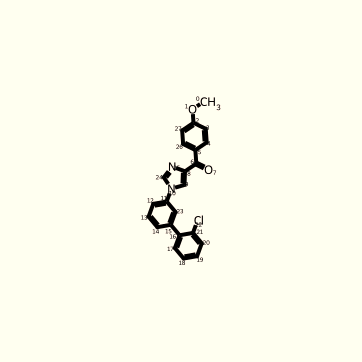 COc1ccc(C(=O)c2cn(-c3cccc(-c4ccccc4Cl)c3)cn2)cc1